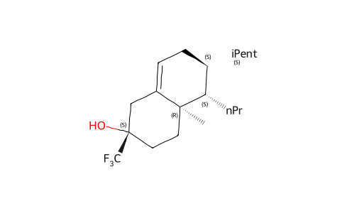 CCC[C@H](C)[C@@H]1CC=C2C[C@](O)(C(F)(F)F)CC[C@]2(C)[C@H]1CCC